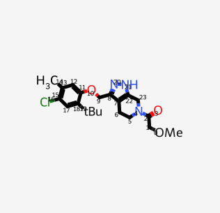 COCC(=O)N1CCc2c(COc3cc(C)c(Cl)cc3C(C)(C)C)n[nH]c2C1